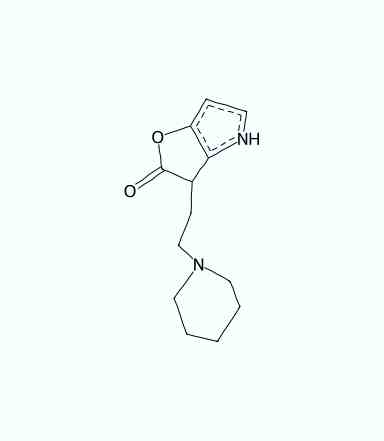 O=C1Oc2cc[nH]c2C1CCN1CCCCC1